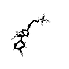 CS(=O)(=O)OCCC#Cc1ccc2c(-c3ccc(Br)cc3)nsc2c1